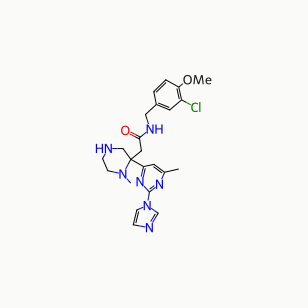 COc1ccc(CNC(=O)CC2(c3cc(C)nc(-n4ccnc4)n3)CNCCN2C)cc1Cl